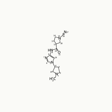 CN1CCC(n2cnc(NC(=O)C3CCN(C#N)C3)c2)C1